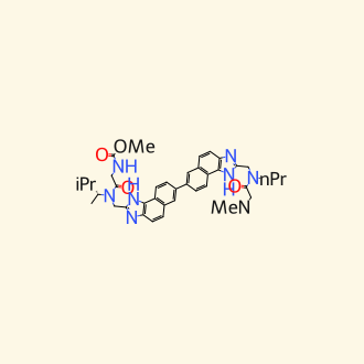 CCCN(Cc1nc2ccc3cc(-c4ccc5c(ccc6nc(CN(C(=O)CNC(=O)OC)[C@H](C)C(C)C)[nH]c65)c4)ccc3c2[nH]1)C(=O)CNC